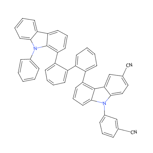 N#Cc1cccc(-n2c3ccc(C#N)cc3c3c(-c4ccccc4-c4ccccc4-c4cccc5c6ccccc6n(-c6ccccc6)c45)cccc32)c1